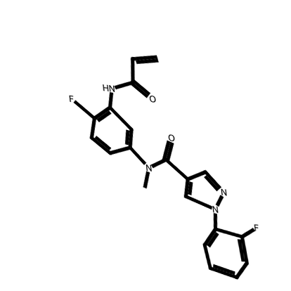 C=CC(=O)Nc1cc(N(C)C(=O)c2cnn(-c3ccccc3F)c2)ccc1F